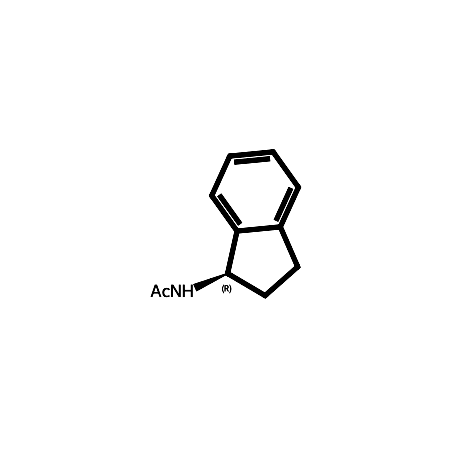 CC(=O)N[C@@H]1CCc2ccccc21